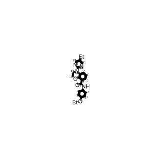 CCOc1ccc(NC(=O)c2cccc3c2OCCN3c2ncc(CC)cn2)cc1